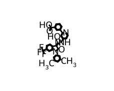 Cc1cc(C)cc(N2C(=O)C(=NNc3ccnc(-c4cccc(C(=O)O)c4)c3O)c3ccc(C(F)(F)F)cc32)c1